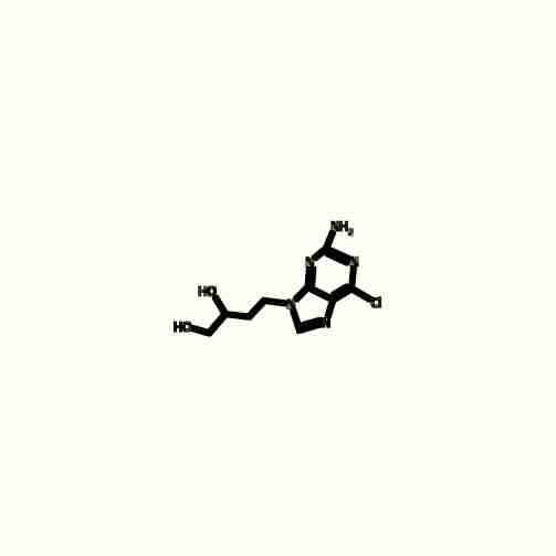 Nc1nc(Cl)c2ncn(CCC(O)CO)c2n1